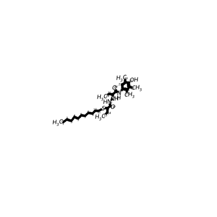 CCCCCCCCCCCCSC(CC)C(=O)NNC(CC)C(=O)Nc1cc(C)c(O)c(C)c1C